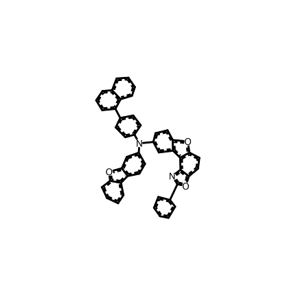 c1ccc(-c2nc3c(ccc4oc5ccc(N(c6ccc(-c7cccc8ccccc78)cc6)c6ccc7c(c6)oc6ccccc67)cc5c43)o2)cc1